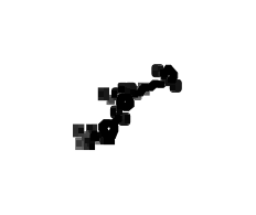 CS(=O)(=O)O.N=C(N)Nc1ccc(C(=O)Oc2ccc(SCCCCCN3C(=O)CCC3=O)cc2)cc1